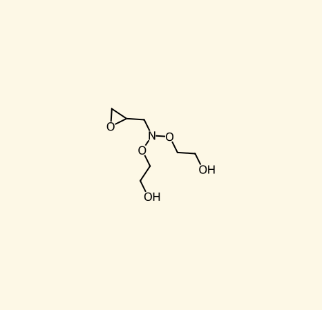 OCCON(CC1CO1)OCCO